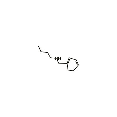 CCCCNCC1=CC=CCC1